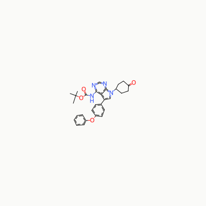 CC(C)(C)OC(=O)Nc1ncnc2c1c(-c1ccc(Oc3ccccc3)cc1)cn2C1CCC(=O)CC1